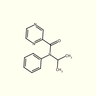 CC(C)N(C(=O)c1cnccn1)c1ccccc1